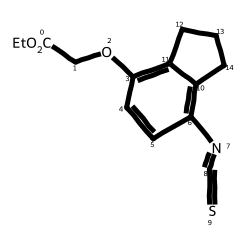 CCOC(=O)COc1ccc(N=C=S)c2c1CCC2